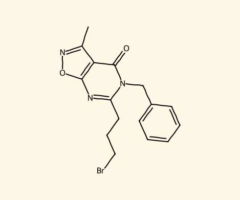 Cc1noc2nc(CCCBr)n(Cc3ccccc3)c(=O)c12